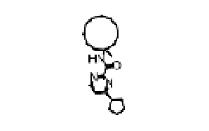 CC1(NC(=O)c2nccc(C3CCCC3)n2)CCCCCCCCCC1